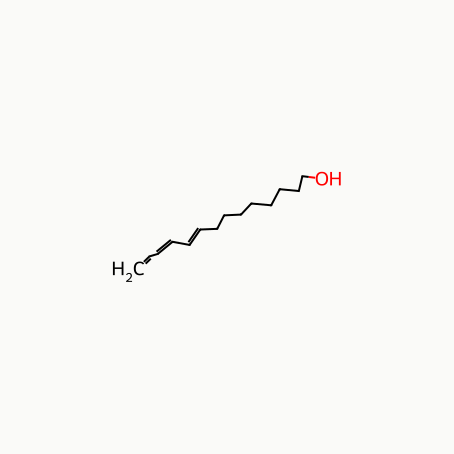 C=CC=CC=CCCCCCCCCO